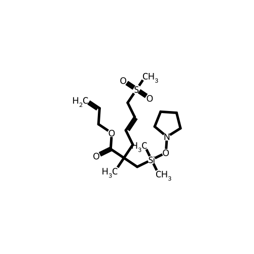 C=CCOC(=O)C(C)(CC=CCS(C)(=O)=O)C[Si](C)(C)ON1CCCC1